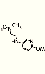 COc1ccc(NCCN(C)C)cn1